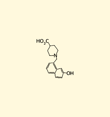 O=C(O)C1CCN(Cc2cccc3ccc(O)cc23)CC1